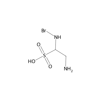 NCC(NBr)S(=O)(=O)O